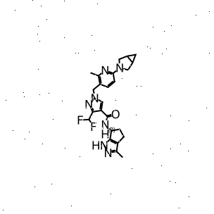 Cc1nc(N2CC3CC3C2)ccc1Cn1cc(C(=O)N[C@@H]2CCc3c(C)n[nH]c32)c(C(F)F)n1